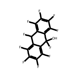 OC1(F)c2c(F)c(F)c(F)c(F)c2C(F)c2c(F)c(F)c(F)c(F)c21